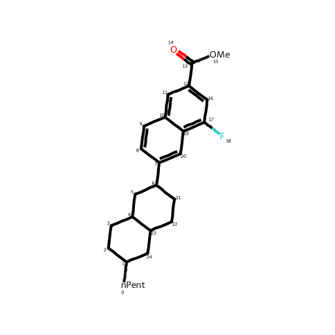 CCCCCC1CCC2CC(c3ccc4cc(C(=O)OC)cc(F)c4c3)CCC2C1